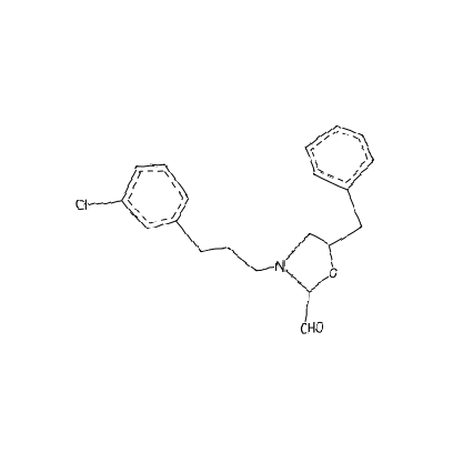 O=CC1OC(Cc2ccccc2)CN1CCCc1cccc(Cl)c1